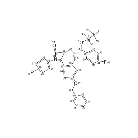 CC(C)(C)[Si](C)(C)O[C@@H](CCC1C(=O)N(c2ccc(F)cc2)C1c1ccc(OCc2ccccc2)cc1F)c1ccc(F)cc1